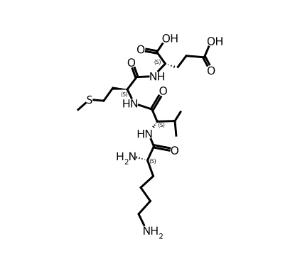 CSCC[C@H](NC(=O)[C@@H](NC(=O)[C@@H](N)CCCCN)C(C)C)C(=O)N[C@@H](CCC(=O)O)C(=O)O